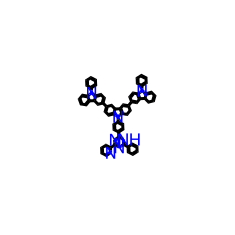 C1=CCC2C(=C1)N(c1ccccc1)c1ccc(C3=CC4=C(CC3)N(c3ccc(C5=NC(c6ccccn6)=NC(c6ccccc6)N5)cc3)C3=CC=C(C5=CC=C6C(C5)c5ccccc5N6c5ccccc5)CC34)cc12